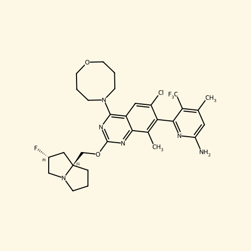 Cc1cc(N)nc(-c2c(Cl)cc3c(N4CCCOCCC4)nc(OC[C@@]45CCCN4C[C@H](F)C5)nc3c2C)c1C(F)(F)F